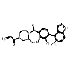 C=CC(=O)N1CCN2C(=O)c3ccc(-c4c(C)ccc5[nH]ncc45)c(Cl)c3OCC2C1